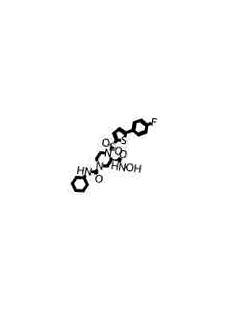 O=C(NO)[C@H]1CN(C(=O)NC2CCCCC2)CCN1S(=O)(=O)c1ccc(-c2ccc(F)cc2)s1